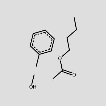 CCCCOC(C)=O.CO.Cc1ccccc1